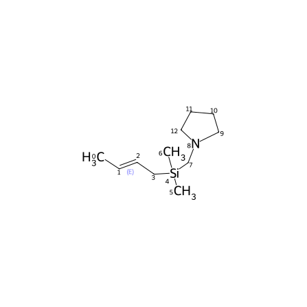 C/C=C/C[Si](C)(C)CN1CCCC1